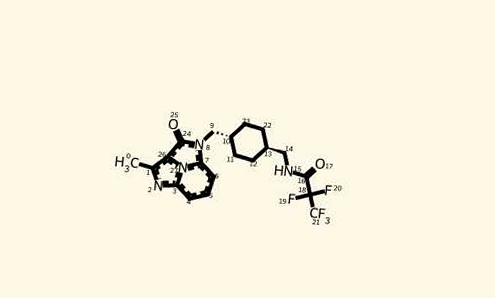 Cc1nc2cccc3n(C[C@H]4CC[C@H](CNC(=O)C(F)(F)C(F)(F)F)CC4)c(=O)c1n23